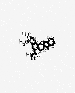 CCNC(=O)c1cc2c(nc(C)n2C)c2c1CCC1(Cc3ccccc3C1)O2